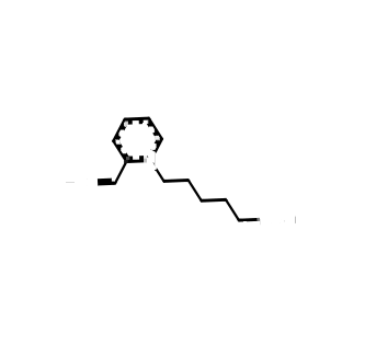 C=Cc1cccc[n+]1CCCCCCCCCCCCC